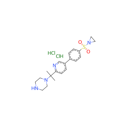 CC(C)(c1ccc(-c2ccc(S(=O)(=O)N3CC3)cc2)cn1)N1CCNCC1.Cl.Cl